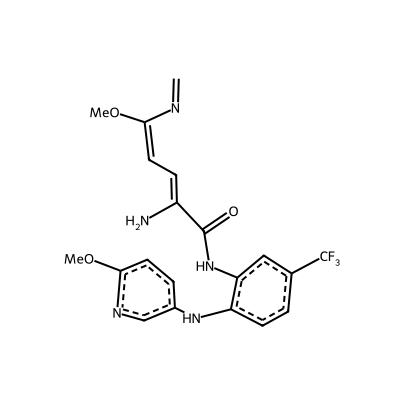 C=N/C(=C\C=C(/N)C(=O)Nc1cc(C(F)(F)F)ccc1Nc1ccc(OC)nc1)OC